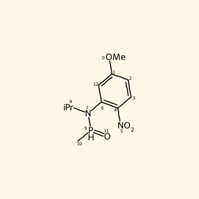 COc1ccc([N+](=O)[O-])c(N(C(C)C)[PH](C)=O)c1